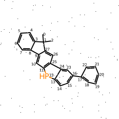 CC1(C)c2ccccc2-c2cc3[pH]c4ccc(-c5ccccc5)cc4c3cc21